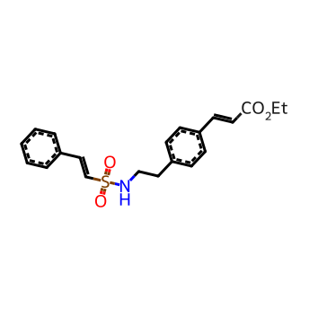 CCOC(=O)C=Cc1ccc(CCNS(=O)(=O)C=Cc2ccccc2)cc1